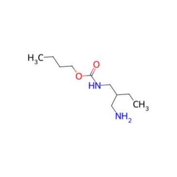 CCCCOC(=O)NCC(CC)CN